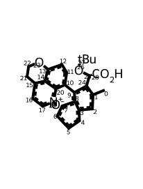 Cc1cc2ccccc2c(-c2ccc3c4c(cc[n+]([O-])c24)CCO3)c1[C@@H](OC(C)(C)C)C(=O)O